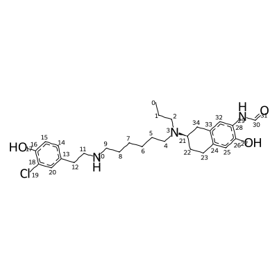 CCCN(CCCCCCNCCc1ccc(O)c(Cl)c1)[C@@H]1CCc2cc(O)c(NC=O)cc2C1